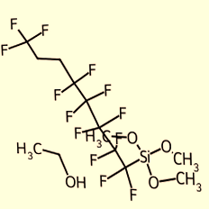 CCO.CO[Si](OC)(OC)C(F)(F)C(F)(F)C(F)(F)C(F)(F)C(F)(F)CCC(F)(F)F